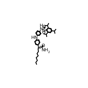 CCCCCCCCN(C(N)=O)c1ccc(Nc2ccc(NS(=O)(=O)c3c(C(C)C)cc(C(C)C)cc3C(C)C)cc2)cc1